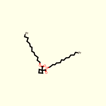 CC(C)CCCCCCCCCCCCOC(=O)C1(C(=O)OCCCCCCCCCCCCC(C)C)CCC1